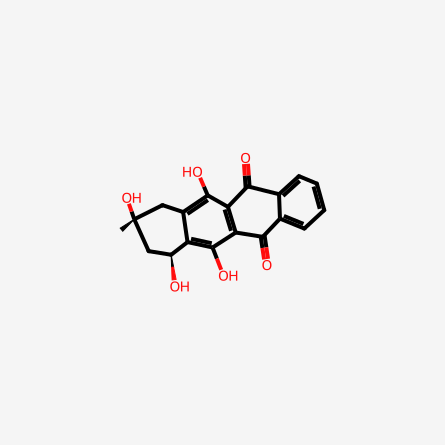 C[C@@]1(O)Cc2c(O)c3c(c(O)c2[C@@H](O)C1)C(=O)c1ccccc1C3=O